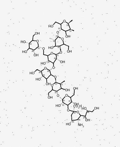 C[C@@H]1OC(CO)[C@@H](O[C@@H]2OC(CO)[C@@H](O[C@@H]3OC(CO[C@H]4OC(CO)[C@@H](O)C(O)[C@H]4O)[C@@H](O)C(O[C@H]4O[C@H](CO)[C@@H](O)C(O)C4O[C@@H]4OC(CO)[C@@H](O[C@@H]5OC(CO)[C@H](O)C(O[C@]6(C(=O)O)C[C@@H](O)[C@@H](N)C([C@H](O)[C@H](O)CO)O6)[C@@H]5O)C(O)[C@@H]4C)[C@H]3O)C(O)[C@@H]2C)C(O)[C@@H]1C